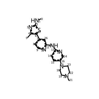 CNc1nc(C)c(-c2ccnc(Nc3ccc(N4CCN(C)CC4)cn3)c2)s1